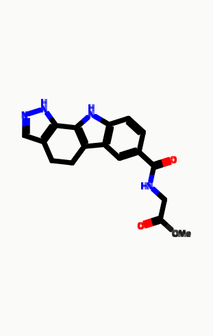 COC(=O)CNC(=O)c1ccc2[nH]c3c(c2c1)CCc1cn[nH]c1-3